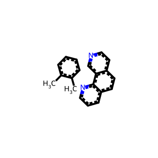 Cc1ccccc1C.c1cnc2c(c1)ccc1ccncc12